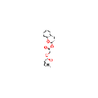 C=CC(=O)OCC(=O)OC1CCc2ccccc2O1